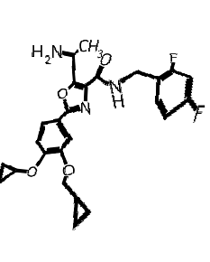 C[C@H](N)c1oc(-c2ccc(OC3CC3)c(OCC3CC3)c2)nc1C(=O)NCc1ccc(F)cc1F